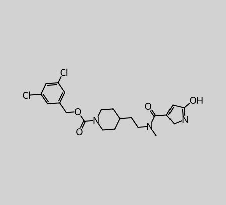 CN(CCC1CCN(C(=O)OCc2cc(Cl)cc(Cl)c2)CC1)C(=O)C1=CC(O)=NC1